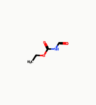 CCOC(=O)NC=O